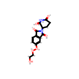 O=C1CCC(N2C(=O)c3ccc(OOCCO)cc3C2=O)C(=O)N1